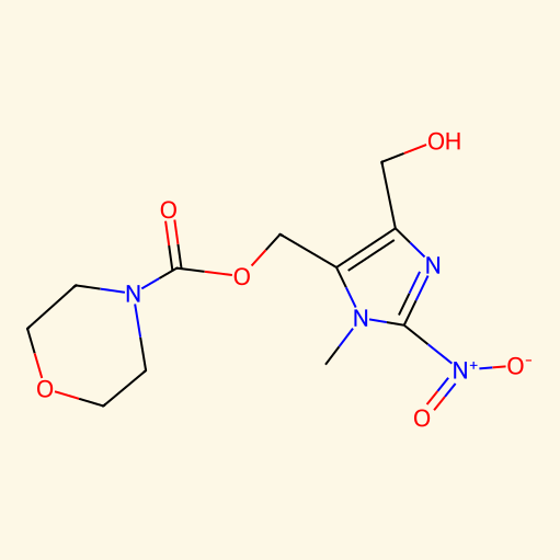 Cn1c([N+](=O)[O-])nc(CO)c1COC(=O)N1CCOCC1